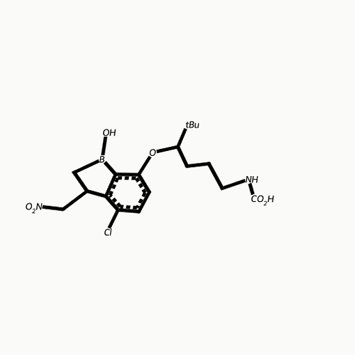 CC(C)(C)C(CCCNC(=O)O)Oc1ccc(Cl)c2c1B(O)CC2C[N+](=O)[O-]